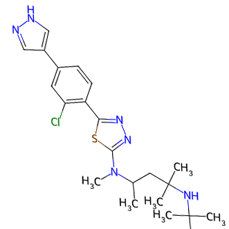 CC(CC(C)(C)NC(C)(C)C)N(C)c1nnc(-c2ccc(-c3cn[nH]c3)cc2Cl)s1